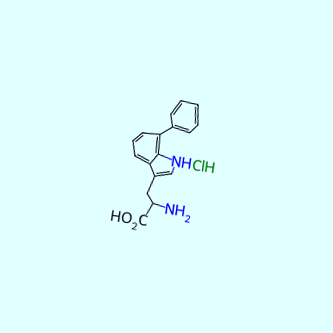 Cl.NC(Cc1c[nH]c2c(-c3ccccc3)cccc12)C(=O)O